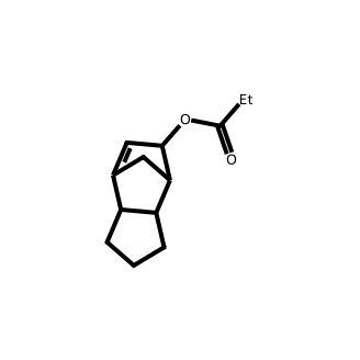 CCC(=O)OC1C=C2CC1C1CCCC21